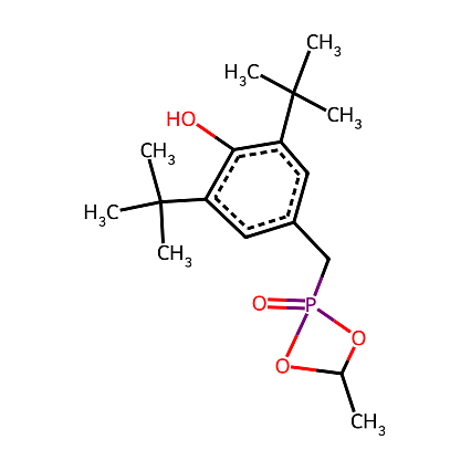 CC1OP(=O)(Cc2cc(C(C)(C)C)c(O)c(C(C)(C)C)c2)O1